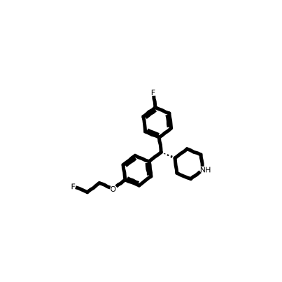 FCCOc1ccc([C@H](c2ccc(F)cc2)C2CCNCC2)cc1